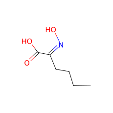 CCCCC(=NO)C(=O)O